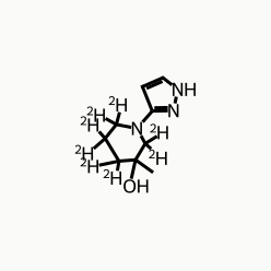 [2H]C1([2H])N(c2cc[nH]n2)C([2H])([2H])C(C)(O)C([2H])([2H])C1([2H])[2H]